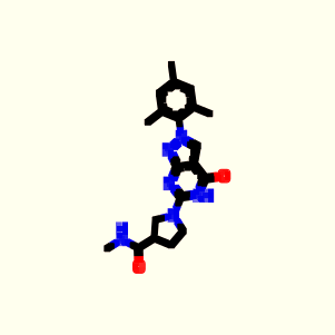 CNC(=O)C1CCN(c2nc3nn(-c4c(C)cc(C)cc4C)cc3c(=O)[nH]2)C1